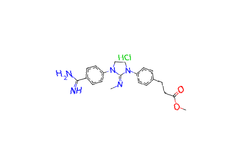 CN=C1N(c2ccc(CCC(=O)OC)cc2)CCN1c1ccc(C(=N)N)cc1.Cl